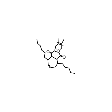 CCCCCCC1C=CCC(CCCCC)C(C(=O)OCC(C)C)C1C(=O)OCC(C)C